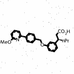 CCC[C@H](CC(=O)O)c1cccc(OCc2ccc(-c3cccc(OC)n3)cc2)c1